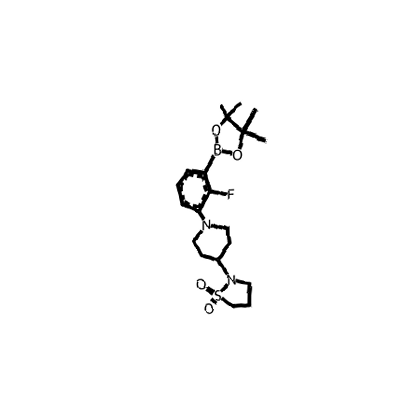 CC1(C)OB(c2cccc(N3CCC(N4CCCS4(=O)=O)CC3)c2F)OC1(C)C